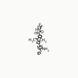 C=C1C=C(c2ncc(CN3CCC3)c(N)n2)C=CN1/C(=C\C)c1cccc(NC(=O)NCC(F)(F)F)c1